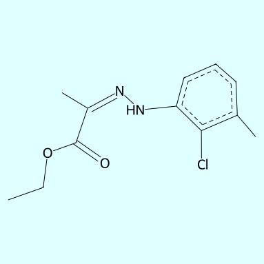 CCOC(=O)C(C)=NNc1cccc(C)c1Cl